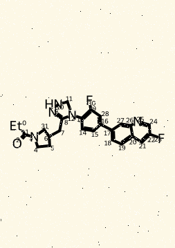 CCC(=O)N1CCC(CC2=NNCN2c2ccc(-c3ccc4cc(F)cnc4c3)cc2F)C1